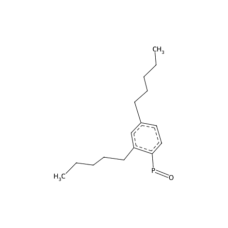 CCCCCc1ccc(P=O)c(CCCCC)c1